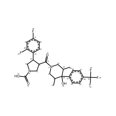 CC1CN(C(=O)C2CN(C(=O)O)CC2c2ccc(F)cc2F)CC(C)C1(O)c1ccc(C(F)(F)F)cc1